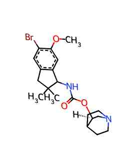 COc1cc2c(cc1Br)CC(C)(C)C2NC(=O)O[C@H]1CN2CCC1CC2